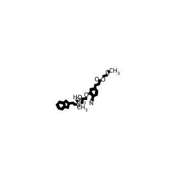 COCCOC(=O)CCc1ccc(C#N)c(OC[C@H](O)C[N+](C)(C)CCC2Cc3ccccc3C2)c1